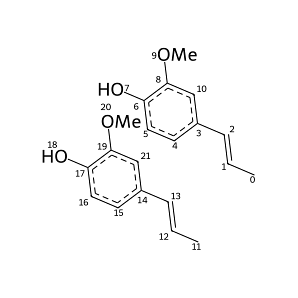 CC=Cc1ccc(O)c(OC)c1.CC=Cc1ccc(O)c(OC)c1